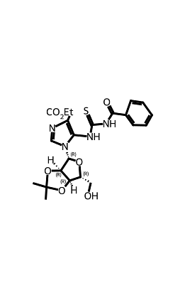 CCOC(=O)c1ncn([C@@H]2O[C@H](CO)[C@H]3OC(C)(C)O[C@H]32)c1NC(=S)NC(=O)c1ccccc1